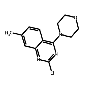 Cc1ccc2c(N3CCOCC3)nc(Cl)nc2c1